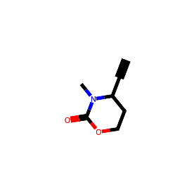 C#CC1CCOC(=O)N1C